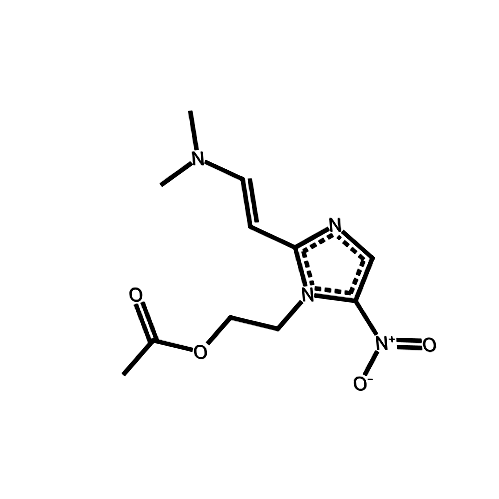 CC(=O)OCCn1c([N+](=O)[O-])cnc1/C=C/N(C)C